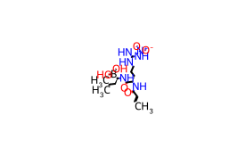 C/C=C/C(=O)N[C@@H](CCCNC(=N)N[N+](=O)[O-])C(=O)N[C@@H](CC(C)C)B(O)O